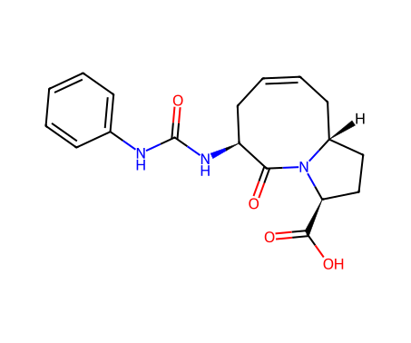 O=C(Nc1ccccc1)N[C@H]1CC=CC[C@@H]2CC[C@@H](C(=O)O)N2C1=O